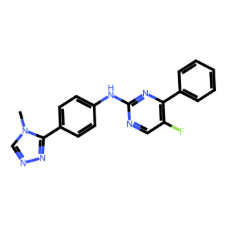 Cn1cnnc1-c1ccc(Nc2ncc(F)c(-c3ccccc3)n2)cc1